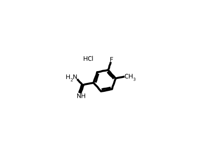 Cc1ccc(C(=N)N)cc1F.Cl